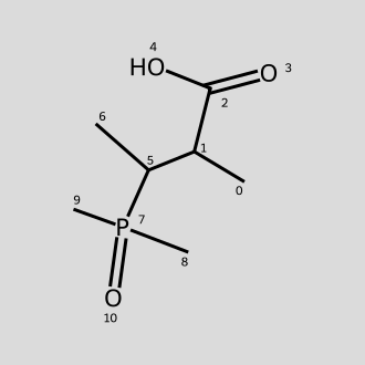 CC(C(=O)O)C(C)P(C)(C)=O